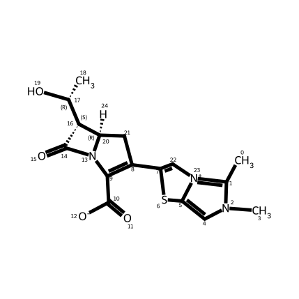 Cc1n(C)cc2sc(C3=C(C(=O)[O-])N4C(=O)[C@H]([C@@H](C)O)[C@H]4C3)c[n+]12